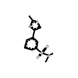 Cc1nc(-c2cccc(S(=O)(=O)N(C)C)c2)cs1